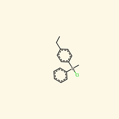 CCc1ccc([Si](C)(Cl)c2ccccc2)cc1